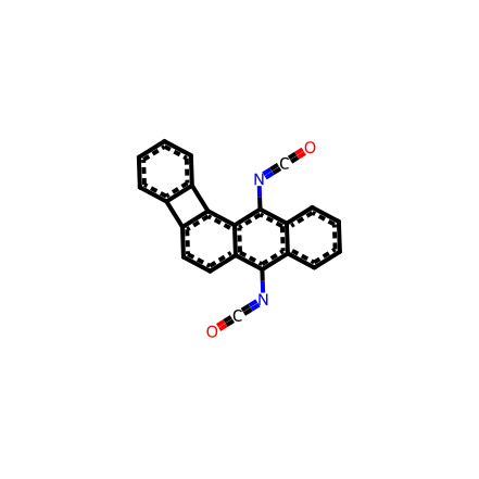 O=C=Nc1c2ccccc2c(N=C=O)c2c3c(ccc12)-c1ccccc1-3